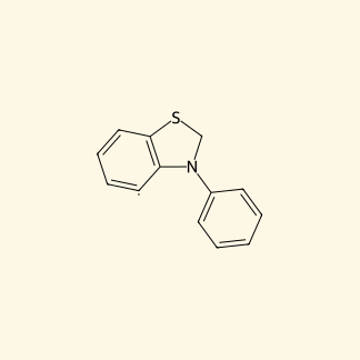 [c]1cccc2c1N(c1ccccc1)CS2